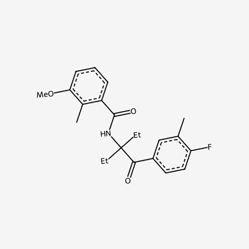 CCC(CC)(NC(=O)c1cccc(OC)c1C)C(=O)c1ccc(F)c(C)c1